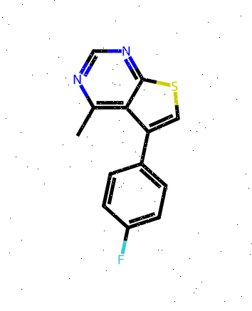 Cc1ncnc2scc(-c3ccc(F)cc3)c12